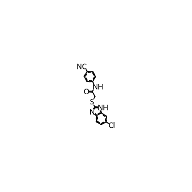 N#Cc1ccc(NC(=O)CSc2nc3ccc(Cl)cc3[nH]2)cc1